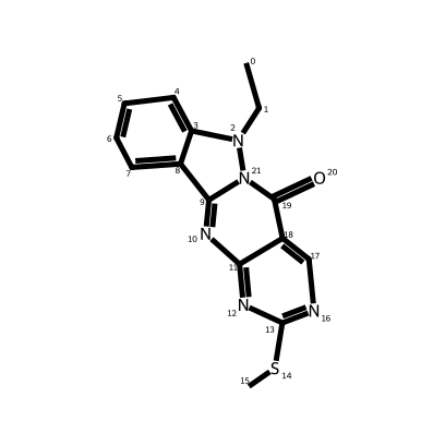 CCn1c2ccccc2c2nc3nc(SC)ncc3c(=O)n21